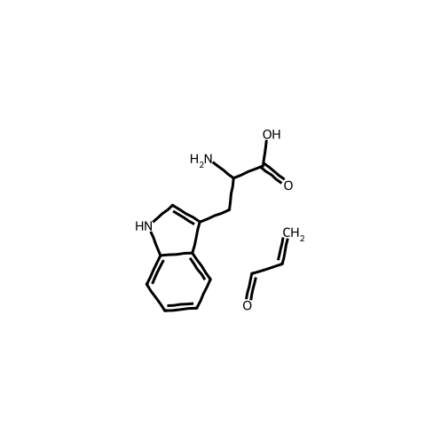 C=CC=O.NC(Cc1c[nH]c2ccccc12)C(=O)O